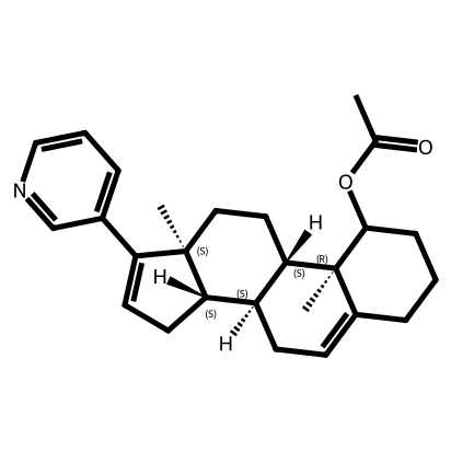 CC(=O)OC1CCCC2=CC[C@H]3[C@@H]4CC=C(c5cccnc5)[C@@]4(C)CC[C@@H]3[C@]21C